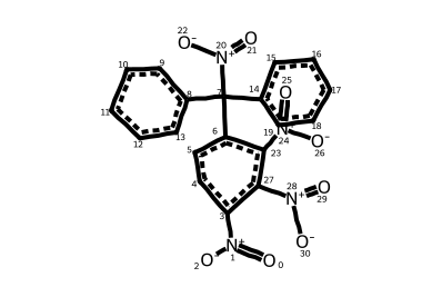 O=[N+]([O-])c1ccc(C(c2ccccc2)(c2ccccc2)[N+](=O)[O-])c([N+](=O)[O-])c1[N+](=O)[O-]